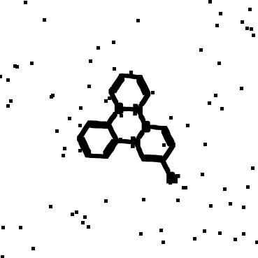 BrC1=CN2B(C=C1)N1C=CC=CB1c1ccccc12